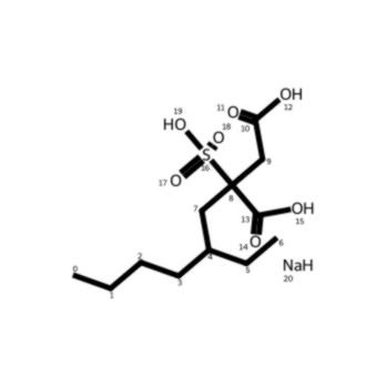 CCCCC(CC)CC(CC(=O)O)(C(=O)O)S(=O)(=O)O.[NaH]